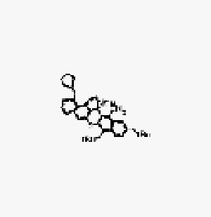 Cc1c2c(c(CC(C)(C)C)c3ccc(CC(C)(C)C)cc13)Sc1cc3cccc(CC4CCCC4)c3c3cc[n+](C)c-2c13